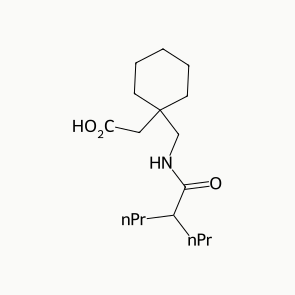 CCCC(CCC)C(=O)NCC1(CC(=O)O)CCCCC1